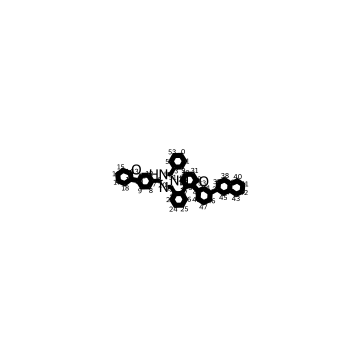 c1ccc(C2NC(c3ccc4c(c3)oc3ccccc34)=NC(c3ccccc3-c3cccc4oc5c(-c6ccc7ccccc7c6)cccc5c34)N2)cc1